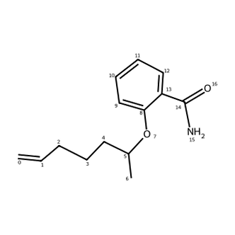 C=CCCCC(C)Oc1ccccc1C(N)=O